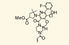 C=CC(=O)N1CCN2C(=O)c3c(N4CC(C(=O)OC)CC4(C)C)nc(-c4c(O)cccc4F)c(Cl)c3OC[C@H]2C1